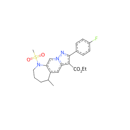 CCOC(=O)c1c(-c2ccc(F)cc2)nn2cc3c(cc12)C(C)CCCN3S(C)(=O)=O